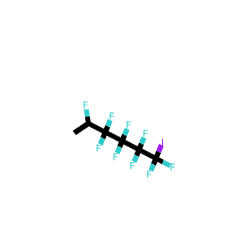 CC(F)C(F)(F)C(F)(F)C(F)(F)C(F)(F)I